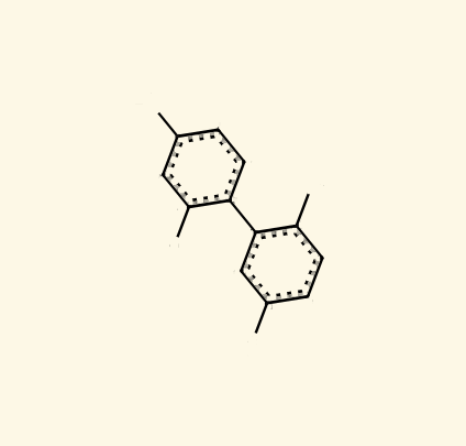 CC(C)c1ccc(O)cc1-c1ccc(O)cc1O